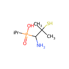 CC(C)P(=O)(O)C(N)C(C)(C)S